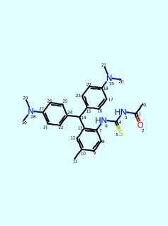 CC(=O)NC(=S)Nc1ccc(C)cc1C(c1ccc(N(C)C)cc1)c1ccc(N(C)C)cc1